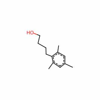 Cc1cc(C)c(CCCCO)c(C)c1